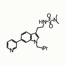 CC(C)Cn1cc(CCNS(=O)(=O)N(C)C)c2ccc(-c3cccnc3)cc21